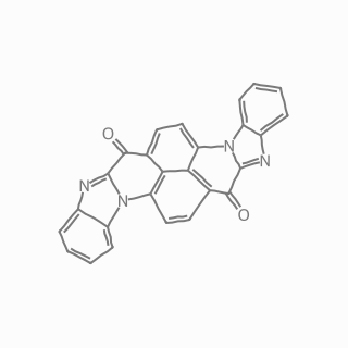 O=c1c2ccc3c4c(ccc(c24)n2c1nc1ccccc12)c(=O)c1nc2ccccc2n13